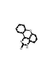 O=c1nc2c3c(cccc3[nH]1)Oc1ccccc1-2